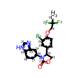 CC(F)(F)COc1ccc(C2COC(=O)N2c2ccc3[nH]cnc3c2)cc1F